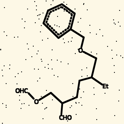 CCC(CCC(C=O)COC=O)COCc1ccccc1